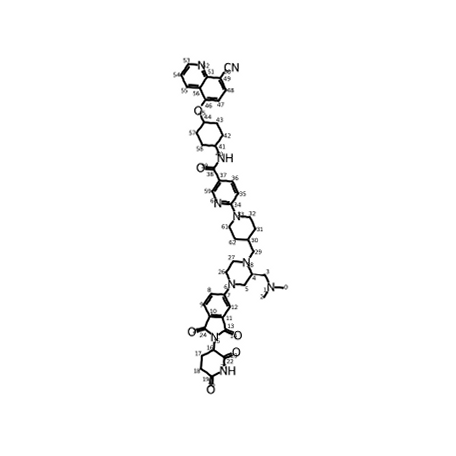 CN(C)C[C@H]1CN(c2ccc3c(c2)C(=O)N(C2CCC(=O)NC2=O)C3=O)CCN1CC1CCN(c2ccc(C(=O)NC3CCC(Oc4ccc(C#N)c5ncccc45)CC3)cn2)CC1